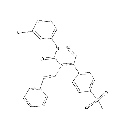 CS(=O)(=O)c1ccc(-c2cnn(-c3cccc(Cl)c3)c(=O)c2C=Cc2ccccc2)cc1